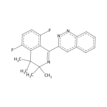 CC1(C)N=C(c2cc3ccccc3nn2)c2c(F)ccc(F)c2C1(C)C